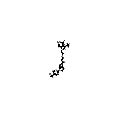 O=C(CCOCCn1cc(C(F)(F)F)c2c(=O)[nH]ncc21)N1CC2C1CCN2c1ncc(C(F)(F)F)cn1